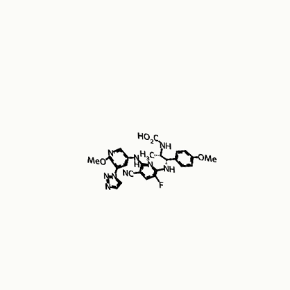 COc1ccc([C@H](Nc2nc(Nc3cnc(OC)c(-n4ccnn4)c3)c(C#N)cc2F)[C@H](C)NC(=O)O)cc1